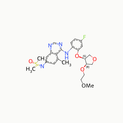 COCCO[C@@H]1COC[C@@H]1Oc1cc(F)ccc1Nc1ncnc2cc(N=S(C)(C)=O)cc(C)c12